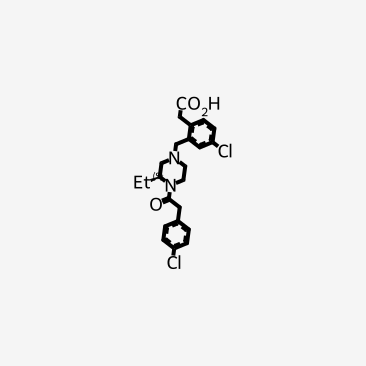 CC[C@H]1CN(Cc2cc(Cl)ccc2CC(=O)O)CCN1C(=O)Cc1ccc(Cl)cc1